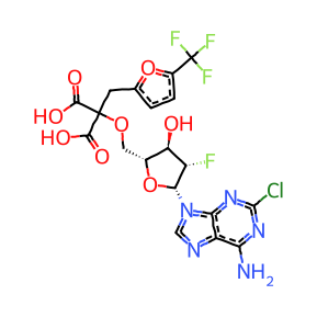 Nc1nc(Cl)nc2c1ncn2[C@@H]1O[C@H](COC(Cc2ccc(C(F)(F)F)o2)(C(=O)O)C(=O)O)[C@@H](O)[C@@H]1F